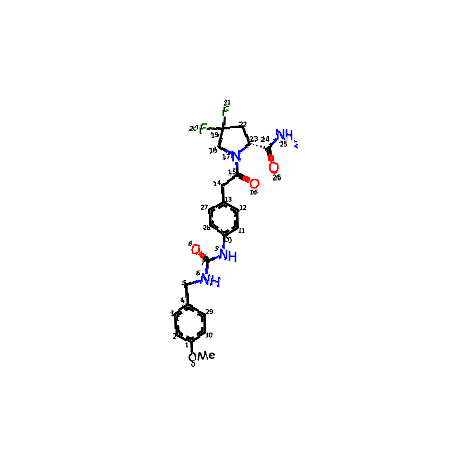 COc1ccc(CNC(=O)Nc2ccc(CC(=O)N3CC(F)(F)C[C@@H]3C(N)=O)cc2)cc1